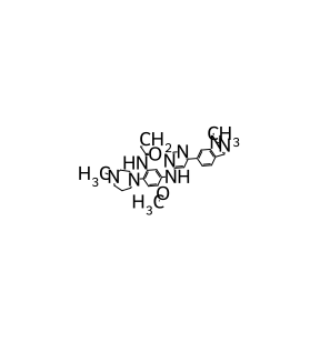 C=CC(=O)Nc1cc(Nc2cc(-c3ccc4cnn(C)c4c3)ncn2)c(OC)cc1N1CCCN(C)CC1